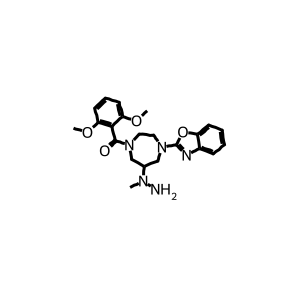 COc1cccc(OC)c1C(=O)N1CCN(c2nc3ccccc3o2)CC(N(C)N)C1